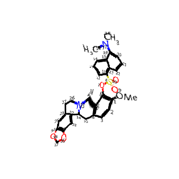 COc1ccc2c(c1OS(=O)(=O)c1cccc3c(N(C)C)cccc13)CN1CCc3cc4c(cc3C1C2)OCO4